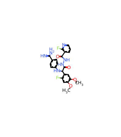 COc1cc(F)c(C(Nc2ccc(C(=N)N)cc2)C(=O)NNC(=O)c2cccnc2F)cc1OC